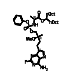 CCCCCCCCC(CCCCCCCC)OC(=O)[C@H](C)NP(=O)(OC[C@](C)(CCn1cnc2c(N)nc(F)nc21)OC)Oc1ccccc1